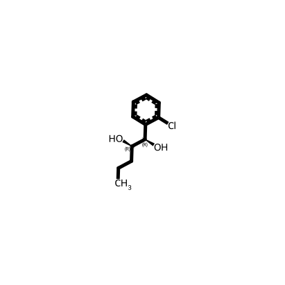 CCC[C@@H](O)[C@H](O)c1ccccc1Cl